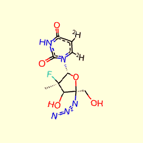 [2H]c1c([2H])n([C@@H]2O[C@@](CO)(N=[N+]=[N-])C(O)[C@@]2(C)F)c(=O)[nH]c1=O